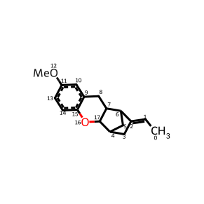 CC=C1CC2CC1C1Cc3cc(OC)ccc3OC21